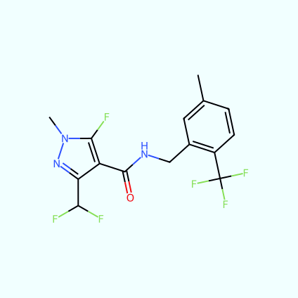 Cc1ccc(C(F)(F)F)c(CNC(=O)c2c(C(F)F)nn(C)c2F)c1